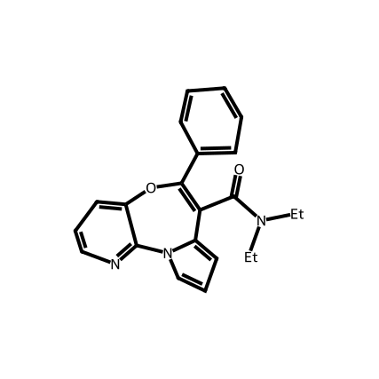 CCN(CC)C(=O)C1=C(c2ccccc2)Oc2cccnc2-n2cccc21